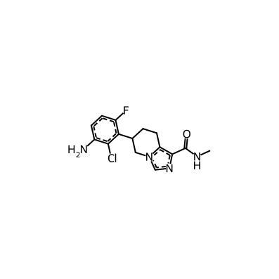 CNC(=O)c1ncn2c1CCC(c1c(F)ccc(N)c1Cl)C2